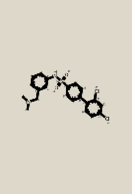 CN(C)Cc1cccc(NS(=O)(=O)c2ccc(-c3ccc(Cl)cc3Cl)cc2)c1